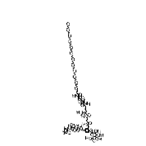 COCCOCCOCCOCCOCCOCCOCCOCCOCCOCCOCCOCCC(=O)N[C@H]1CO[C@H]2[C@@H]1OC[C@@H]2NC(=O)CCC[C@H](N)C(=O)NCCC(=O)NCc1cc(COC(=O)N[C@H]2CO[C@H]3[C@@H]2OC[C@@H]3NC(=O)OC(C)(C)C)ccc1O[C@@H]1O[C@H](C(=O)O)[C@@H](O)[C@H](O)[C@H]1O